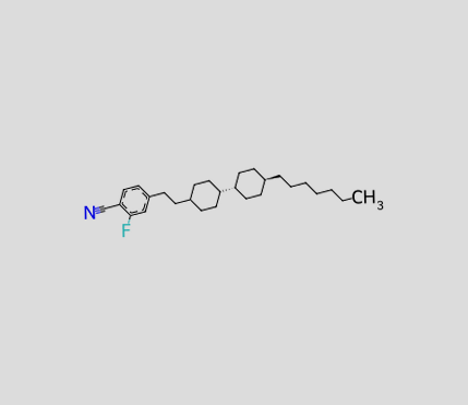 CCCCCCC[C@H]1CC[C@H](C2CCC(CCc3ccc(C#N)c(F)c3)CC2)CC1